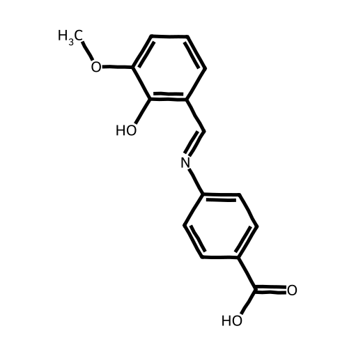 COc1cccc(/C=N/c2ccc(C(=O)O)cc2)c1O